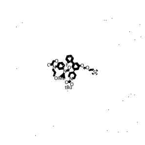 COCCCN1C(=O)COc2ccc(N(C(=O)[C@H]3CN(C(=O)OC(C)(C)C)CC[C@@H]3c3cc(OCOCC[Si](C)(C)C)cc(-c4ccccc4F)c3)C3CC3)cc21